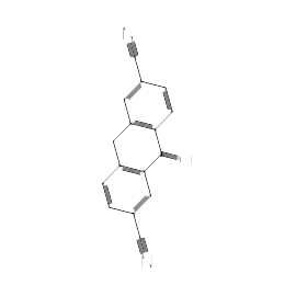 N#Cc1ccc2c(c1)Cc1ccc(C#N)cc1C2=O